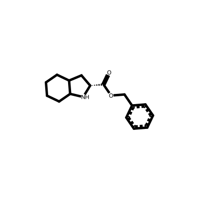 O=C(OCc1ccccc1)[C@H]1CC2CCCCC2N1